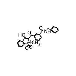 CN1C(C(=O)c2cccc(C(=O)NCc3ccccc3)c2)=C(O)c2ccccc2S1(=O)=O